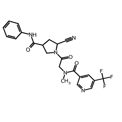 CN(CC(=O)N1CC(C(=O)Nc2ccccc2)CC1C#N)C(=O)c1cncc(C(F)(F)F)c1